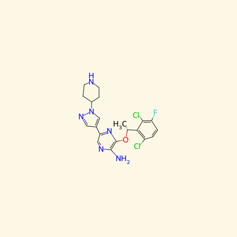 C[C@@H](Oc1nc(-c2cnn(C3CCNCC3)c2)cnc1N)c1c(Cl)ccc(F)c1Cl